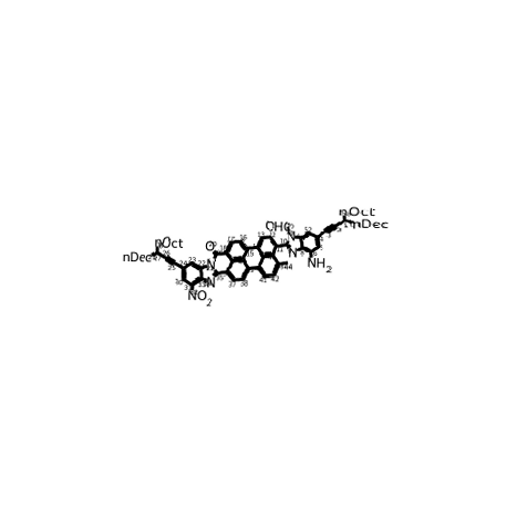 CCCCCCCCCCC(C#Cc1cc(N)c2nc(-c3ccc4c5ccc6c(=O)n7c8cc(C#CC(CCCCCCCC)CCCCCCCCCC)cc([N+](=O)[O-])c8nc7c7ccc(c8ccc(C)c3c48)c5c67)n(C=O)c2c1)CCCCCCCC